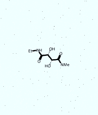 CCNC(=O)[C@H](O)[C@@H](O)C(=O)NC